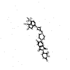 CS(=O)(=O)c1ccc(N2CC(CN3CCN(c4cc5c(cc4F)C(=O)N(C4CCC(=O)NC4=O)C5=O)CC3)C2)c2c1[C@H](O)[C@H](F)C2